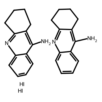 I.I.Nc1c2c(nc3ccccc13)CCCC2.Nc1c2c(nc3ccccc13)CCCC2